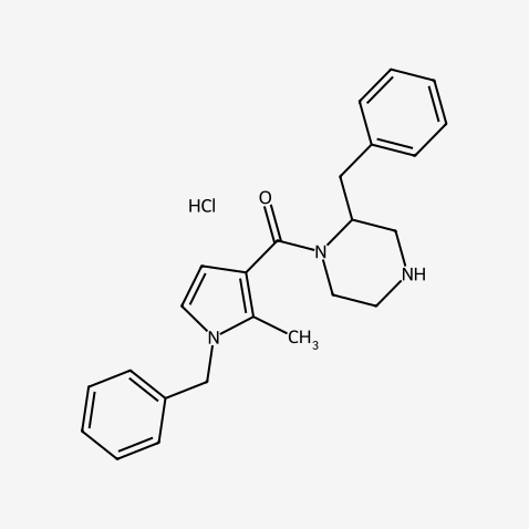 Cc1c(C(=O)N2CCNCC2Cc2ccccc2)ccn1Cc1ccccc1.Cl